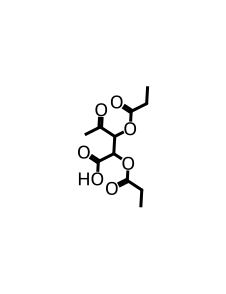 CCC(=O)OC(C(C)=O)C(OC(=O)CC)C(=O)O